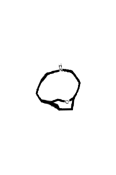 C1CC2CCC(CCN1)O2